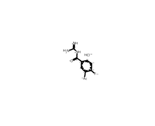 CC(=O)c1cc(C(=O)NC(=N)N)ccc1F.Cl